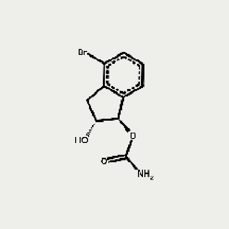 NC(=O)O[C@@H]1c2cccc(Br)c2C[C@H]1O